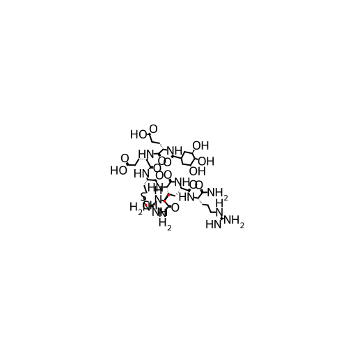 CSCC[C@H](NC(=O)[C@H](CCC(=O)O)NC(=O)[C@H](CCC(=O)O)NC(=O)C1C[C@@H](O)C(O)[C@H](O)C1)C(=O)N[C@@H](CCC(N)=O)C(=O)N[C@@H](CCCNC(=N)N)C(=O)N[C@@H](CCCNC(=N)N)C(N)=O